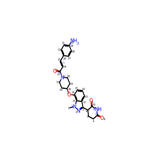 Cn1nc(C2CCC(=O)NC2=O)c2cccc(OC3CCN(C(=O)/C=C/c4ccc(N)cc4)CC3)c21